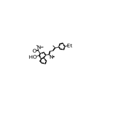 C=N/C(=C\C=C(/C)c1ccc(CC)cc1)c1cc(C(=O)N(C)C)c(O)c2ccccc12